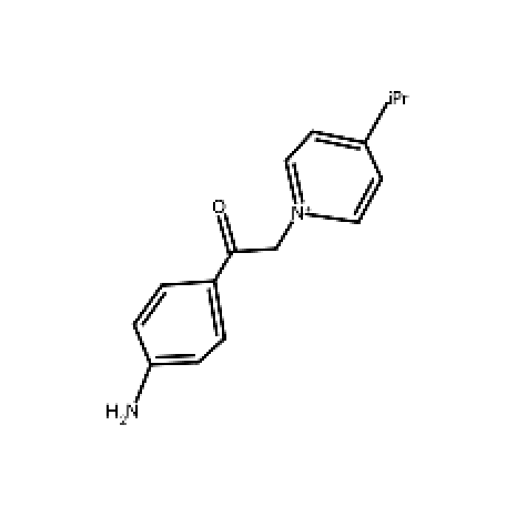 CC(C)c1cc[n+](CC(=O)c2ccc(N)cc2)cc1